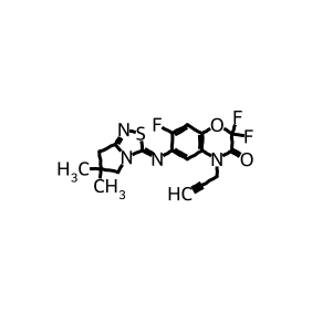 C#CCN1C(=O)C(F)(F)Oc2cc(F)c(/N=c3\snc4n3CC(C)(C)C4)cc21